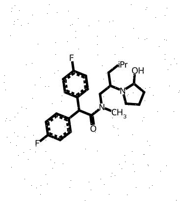 CC(C)CC(CN(C)C(=O)C(c1ccc(F)cc1)c1ccc(F)cc1)N1CCCC1O